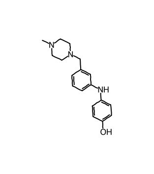 CN1CCN(Cc2cccc(Nc3ccc(O)cc3)c2)CC1